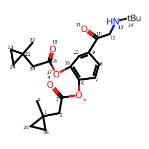 CC1(CC(=O)Oc2ccc(C(=O)CNC(C)(C)C)cc2OC(=O)CC2(C)CC2)CC1